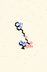 Cn1nccc1C1(C(=O)N[C@@H](CCOCCCCc2ccc3c(n2)NCCC3)C(=O)O)CC1